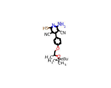 C[C@@H](COc1ccc(-c2c(C#N)c(N)nc(S)c2C#N)cc1)O[Si](C)(C)C(C)(C)C